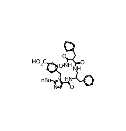 CCCCc1ncc(C(=O)NC(CNC(=O)C(Cc2ccccc2)C(=O)NO)Cc2ccccc2)n1Cc1ccc(C(=O)O)cc1